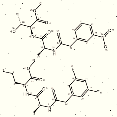 CCC[C@H](NC(=O)[C@H](C)NC(=O)Cc1cc(F)cc(F)c1)C(=O)OC.COC(=O)[C@@H](NC(=O)[C@H](C)NC(=O)Cc1cccc([N+](=O)[O-])c1)[C@@H](C)O